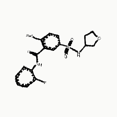 COc1ccc(S(=O)(=O)NC2CCOC2)cc1C(=O)Nc1ccccc1F